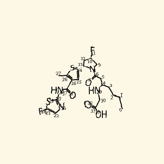 CCCCC(CC(=O)N1C[C@H](F)C[C@H]1c1cc(C(=O)Nc2ncc(F)s2)c(C)s1)NCC(=O)O